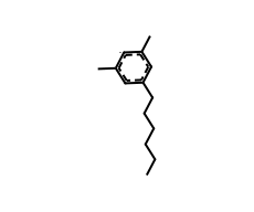 CCCCCCc1cc(C)[c]c(C)c1